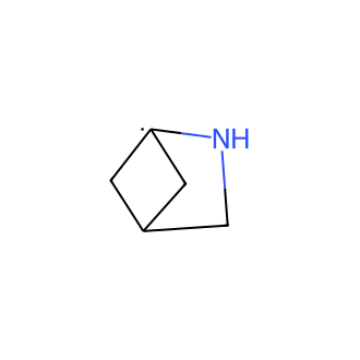 C1N[C]2CC1C2